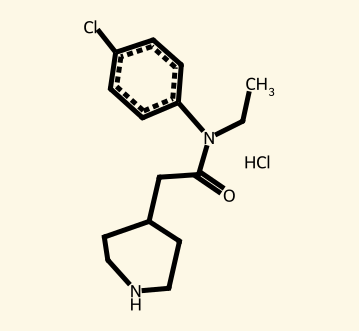 CCN(C(=O)CC1CCNCC1)c1ccc(Cl)cc1.Cl